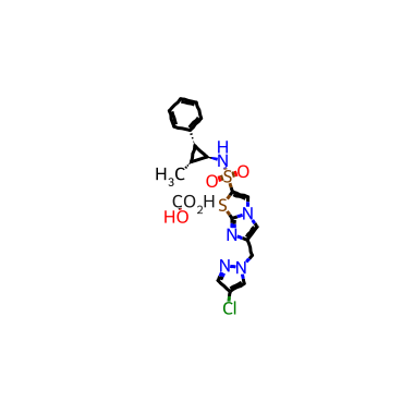 C[C@H]1[C@H](NS(=O)(=O)c2cn3cc(Cn4cc(Cl)cn4)nc3s2)[C@H]1c1ccccc1.O=C(O)O